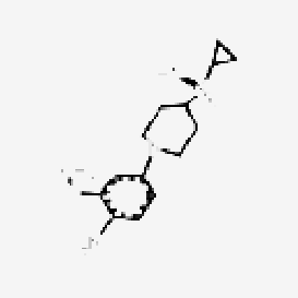 COc1cc(N2CCC(S(=N)(=O)C3CC3)CC2)ccc1N